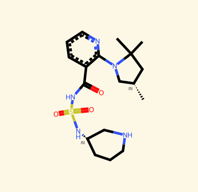 C[C@@H]1CN(c2ncccc2C(=O)NS(=O)(=O)N[C@H]2CCCNC2)C(C)(C)C1